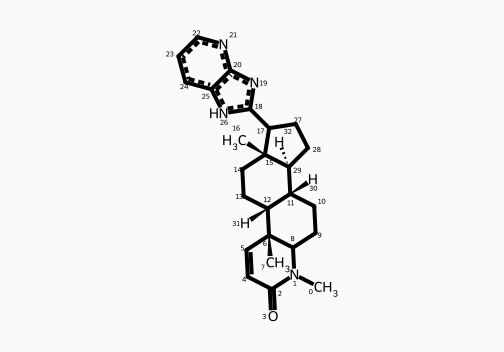 CN1C(=O)C=C[C@@]2(C)C1CC[C@@H]1[C@H]2CC[C@]2(C)C(c3nc4ncccc4[nH]3)CC[C@@H]12